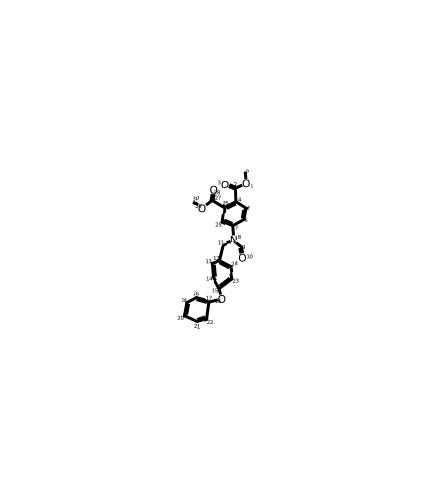 COC(=O)c1ccc(N(C=O)Cc2ccc(Oc3ccccc3)cc2)cc1C(=O)OC